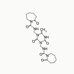 C=C1NC(=O)N(CNC(=O)N2CCCCCC2=O)C(=O)N1CNC(=O)N1CCCCCC1=O